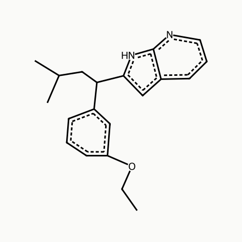 CCOc1cccc(C(CC(C)C)c2cc3cccnc3[nH]2)c1